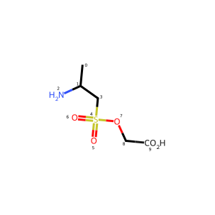 CC(N)CS(=O)(=O)OCC(=O)O